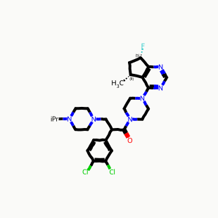 CC(C)N1CCN(CC(C(=O)N2CCN(c3ncnc4c3[C@H](C)C[C@@H]4F)CC2)c2ccc(Cl)c(Cl)c2)CC1